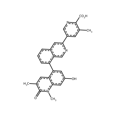 Cc1cc(-c2cc3cccc(-c4cc(O)cc5c4cc(C)c(=O)n5C)c3cn2)cnc1C(=O)O